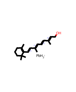 CC1=C(/C=C/C(C)=C/C=C/C(C)=C/CO)C(C)(C)CCC1.[PbH2]